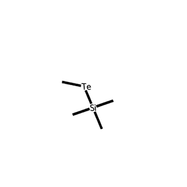 C[Te][Si](C)(C)C